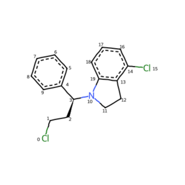 ClCC[C@@H](c1ccccc1)N1CCc2c(Cl)cccc21